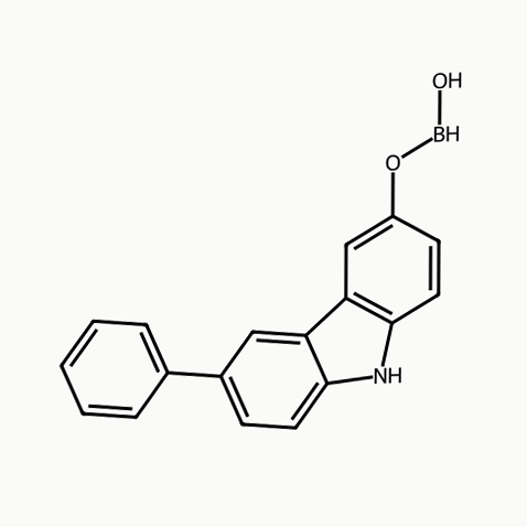 OBOc1ccc2[nH]c3ccc(-c4ccccc4)cc3c2c1